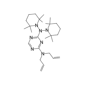 C=CCN(CC=C)c1ncnc(N(N2C(C)(C)CCCC2(C)C)N2C(C)(C)CCCC2(C)C)n1